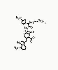 COCCO/N=C(\C(=O)N[C@@H]1C(=O)N2C(C(=O)[O-])=C(Cc3c[nH][n+]4c(C)cccc34)CS[C@H]12)c1csc(N)n1